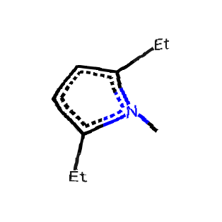 CCc1ccc(CC)n1C